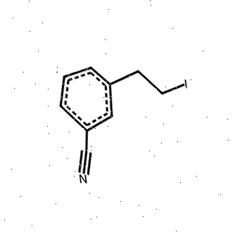 N#Cc1cccc(CCI)c1